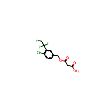 O=C(O)CC(=O)OCc1ccc(Cl)c(C(F)(F)CF)c1